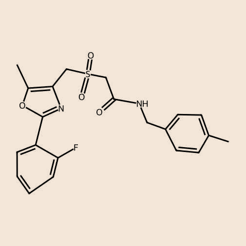 Cc1ccc(CNC(=O)CS(=O)(=O)Cc2nc(-c3ccccc3F)oc2C)cc1